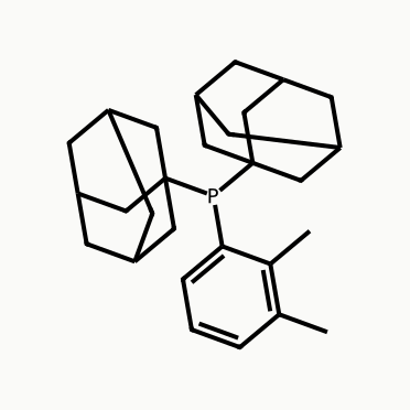 Cc1cccc(P(C23CC4CC(CC(C4)C2)C3)C23CC4CC(CC(C4)C2)C3)c1C